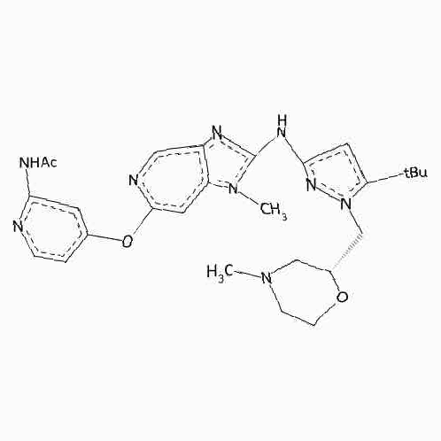 CC(=O)Nc1cc(Oc2cc3c(cn2)nc(Nc2cc(C(C)(C)C)n(C[C@H]4CN(C)CCO4)n2)n3C)ccn1